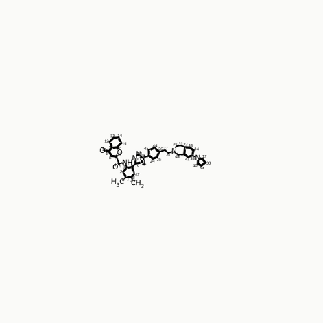 Cc1cc(NC(=O)c2cc(=O)c3ccccc3o2)c(-c2nnn(-c3ccc(CCN4CCc5ccc(-n6cccc6)cc5C4)cc3)n2)cc1C